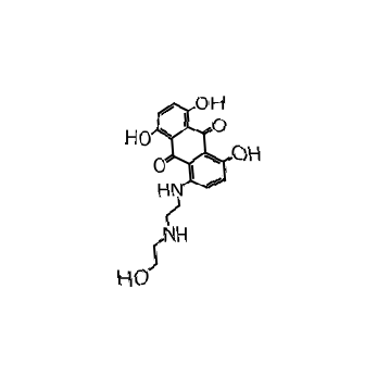 O=C1c2c(O)ccc(O)c2C(=O)c2c(NCCNCCO)ccc(O)c21